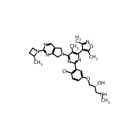 CNC[C@@H](O)COc1ccc(Cl)c(-c2nc(-c3c(C)noc3C)c(C)c(N3Cc4cnc(N5CC[C@@H]5C)nc4C3)n2)c1